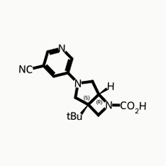 CC(C)(C)[C@@]12CN(c3cncc(C#N)c3)C[C@@H]1N(C(=O)O)C2